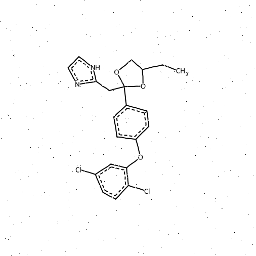 CCC1COC(Cc2ncc[nH]2)(c2ccc(Oc3cc(Cl)ccc3Cl)cc2)O1